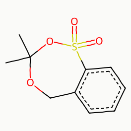 CC1(C)OCc2ccccc2S(=O)(=O)O1